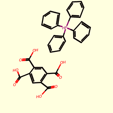 O=C(O)c1cc(C(=O)O)c(C(=O)O)cc1C(=O)O.c1ccc([PH](c2ccccc2)(c2ccccc2)c2ccccc2)cc1